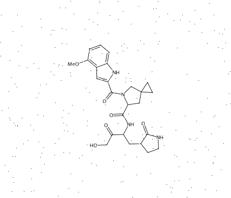 COc1cccc2[nH]c(C(=O)N3CC4(CC4)CC3C(=O)NC(CC3CCNC3=O)C(=O)CO)cc12